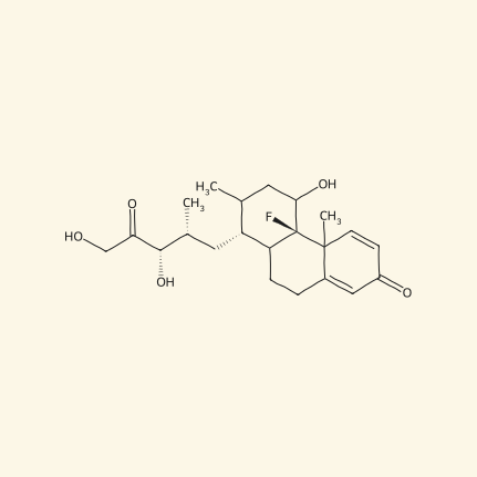 CC1CC(O)[C@@]2(F)C(CCC3=CC(=O)C=CC32C)[C@@H]1C[C@@H](C)[C@H](O)C(=O)CO